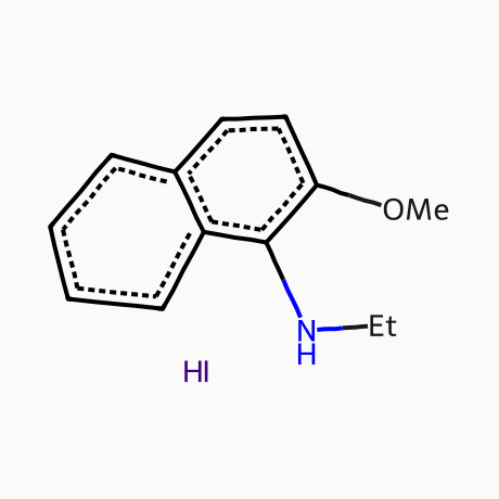 CCNc1c(OC)ccc2ccccc12.I